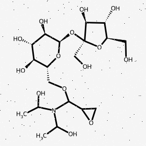 CC(O)N(C(C)O)C(OC[C@H]1O[C@H](O[C@]2(CO)O[C@H](CO)[C@@H](O)[C@@H]2O)[C@H](O)[C@@H](O)[C@@H]1O)C1CO1